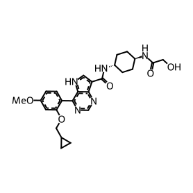 COc1ccc(-c2ncnc3c(C(=O)N[C@H]4CC[C@H](NC(=O)CO)CC4)c[nH]c23)c(OCC2CC2)c1